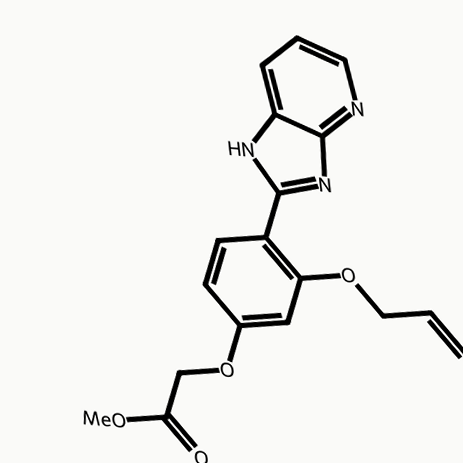 C=CCOc1cc(OCC(=O)OC)ccc1-c1nc2ncccc2[nH]1